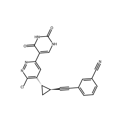 N#Cc1cccc(C#C[C@H]2C[C@@H]2c2cc(-c3c[nH]c(=O)[nH]c3=O)nnc2Cl)c1